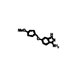 COc1ccc(COc2ccc3c(N)n[nH]c3c2)cc1